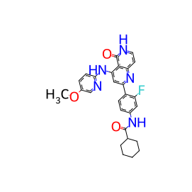 COc1ccc(Nc2cc(-c3ccc(NC(=O)C4CCCCC4)cc3F)nc3cc[nH]c(=O)c23)nc1